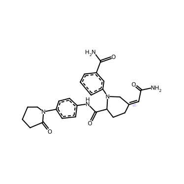 NC(=O)/C=C1/CCC(C(=O)Nc2ccc(N3CCCCC3=O)cc2)N(c2cccc(C(N)=O)c2)C1